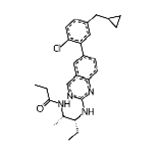 CCC(=O)N[C@@H](C)[C@@H](CC)Nc1ncc2cc(-c3cc(CC4CC4)ccc3Cl)ccc2n1